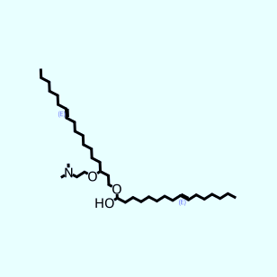 CCCCCC/C=C/CCCCCCCC(O)OCCC(CCCCCCC/C=C/CCCCCC)OCCN(C)C